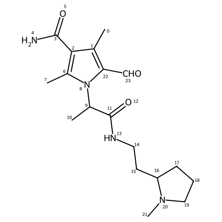 Cc1c(C(N)=O)c(C)n(C(C)C(=O)NCCC2CCCN2C)c1C=O